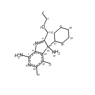 CCOCC1=Nc2c(N)nc(C)c(C)c2[N+]1(N)C1CCCCC1